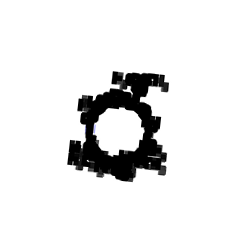 COc1ccc(CC[C@H]2OC(=O)[C@@H]3CCCCN3C(=O)C(=O)C(C)(C)COC(=O)/C=C\CCN(C)C(=O)[C@H](CC(C)C)NC(=O)[C@H](C(C)C)N(C)C(=O)[C@@H](Cc3ccccc3)NC(=O)[C@H](CC(C)C)N(C)C(=O)CCC(=O)Nc3cccc2c3)cc1OC